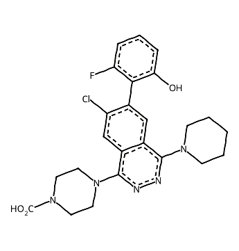 O=C(O)N1CCN(c2nnc(N3CCCCC3)c3cc(-c4c(O)cccc4F)c(Cl)cc23)CC1